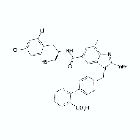 CCCc1nc2c(C)cc(C(=O)N[C@@H](CS)Cc3ccc(Cl)cc3Cl)cc2n1Cc1ccc(-c2ccccc2C(=O)O)cc1